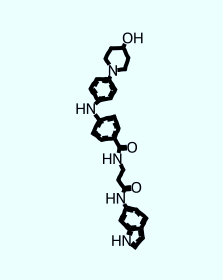 O=C(CCNC(=O)c1ccc(Nc2ccc(N3CCC(O)CC3)cc2)cc1)Nc1ccc2cc[nH]c2c1